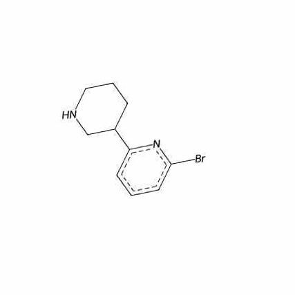 Brc1cccc(C2CCCNC2)n1